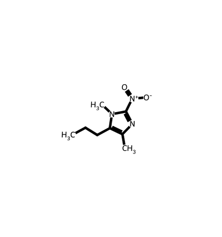 CCCc1c(C)nc([N+](=O)[O-])n1C